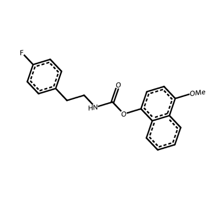 COc1ccc(OC(=O)NCCc2ccc(F)cc2)c2ccccc12